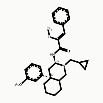 CC(=O)Oc1cccc([C@@]23CCCCC2CN(CC2CC2)[C@H](NC(=O)C(=Cc2ccccc2)OC(F)(F)F)C3)c1